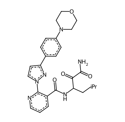 CC(C)CC(NC(=O)c1cccnc1-n1ccc(-c2ccc(N3CCOCC3)cc2)n1)C(=O)C(N)=O